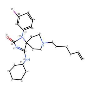 C=CCCCCN1CCC2(CC1)C(NC1CCCCC1)=NC(=O)N2c1cccc(I)c1